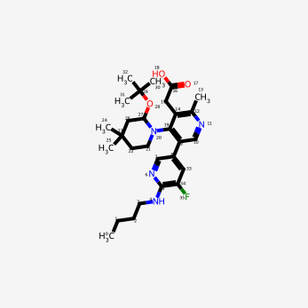 CCCCNc1ncc(-c2cnc(C)c(CC(=O)O)c2N2CCC(C)(C)CC2OC(C)(C)C)cc1F